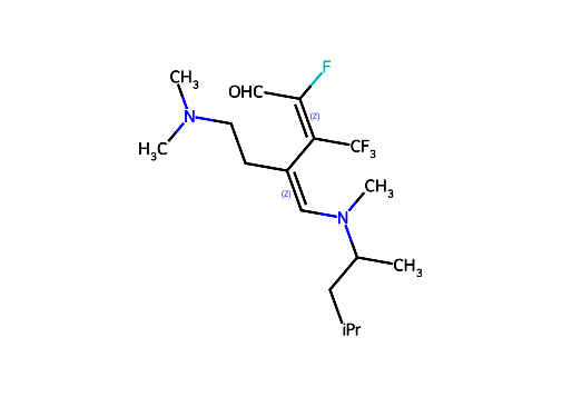 CC(C)CC(C)N(C)/C=C(CCN(C)C)\C(=C(\F)C=O)C(F)(F)F